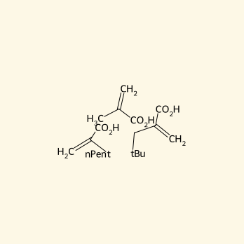 C=C(C)C(=O)O.C=C(CC(C)(C)C)C(=O)O.C=C(CCCCC)C(=O)O